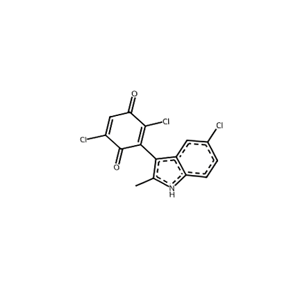 Cc1[nH]c2ccc(Cl)cc2c1C1=C(Cl)C(=O)C=C(Cl)C1=O